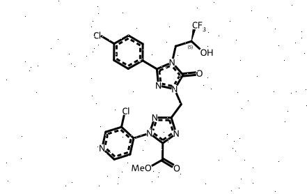 COC(=O)c1nc(Cn2nc(-c3ccc(Cl)cc3)n(C[C@H](O)C(F)(F)F)c2=O)nn1-c1ccncc1Cl